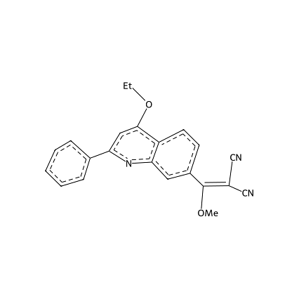 CCOc1cc(-c2ccccc2)nc2cc(C(OC)=C(C#N)C#N)ccc12